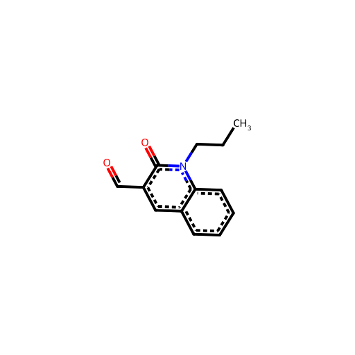 CCCn1c(=O)c(C=O)cc2ccccc21